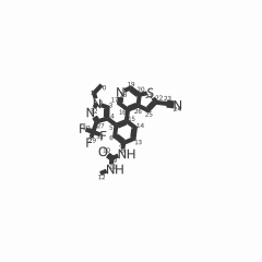 CCn1cc(-c2cc(NC(=O)NC)ccc2-c2cncc3sc(C#N)cc23)c(C(F)(F)F)n1